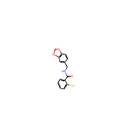 O=C(NCc1ccc2c(c1)OCO2)c1ccccc1S